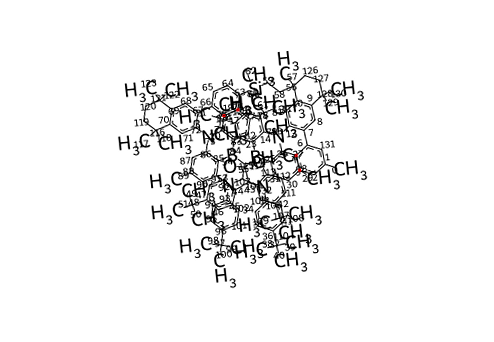 Cc1ccc(C)c(-c2cc3c(cc2N2c4ccc(C(C)(C)C)cc4B4c5c2cc(C)cc5N(c2ccc(C(C)(C)C)cc2)C2c5ccc(C(C)(C)C)cc5OC42)C(C)(CC[Si](C)(C)c2ccc(-c4cc5c(cc4N4c6ccc(C(C)(C)C)cc6B6c7c4cc(C)cc7N(c4ccc(C(C)(C)C)cc4)C4c7cc(C(C)(C)C)ccc7OC64)C(C)(C)CCC5(C)C)cc2)CCC3(C)C)c1